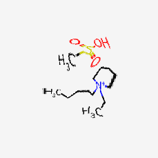 CCCC[N+]1(CC)CCCC1.CS(=O)(=O)O